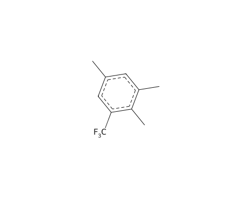 Cc1cc(C)c(C)c(C(F)(F)F)c1